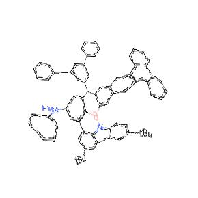 CC(C)(C)c1ccc2c(c1)c1cc(C(C)(C)C)cc3c1n2B1c2cc4cc5c6ccccc6c6ccccc6c5cc4cc2C(c2cc(-c4ccccc4)cc(-c4ccccc4)c2)c2cc(Nc4ccccc4)cc-3c21